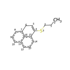 CCCSC1=CCc2cccc3cccc1c23